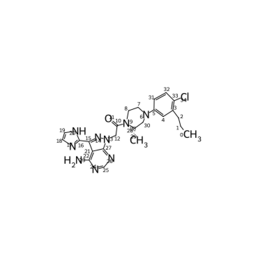 CCCc1cc(N2CCN(C(=O)Cn3nc(-c4ncc[nH]4)c4c(N)ncnc43)[C@@H](C)C2)ccc1Cl